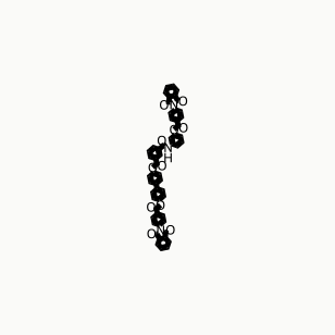 O=C(Nc1cccc(OC(=O)c2ccc(N3C(=O)C4CC=CCC4C3=O)cc2)c1)c1cccc(C(=O)Oc2ccc(-c3ccc(OC(=O)c4ccc(N5C(=O)C6CC=CCC6C5=O)cc4)cc3)cc2)c1